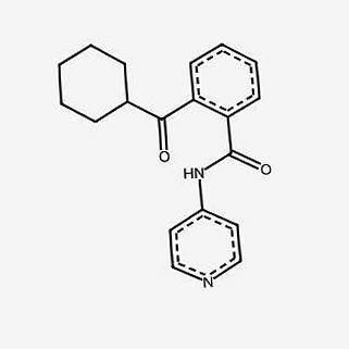 O=C(Nc1ccncc1)c1ccccc1C(=O)C1CCCCC1